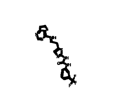 O=C(Nc1cccc(C(F)(F)F)c1)Nc1ncc(CCNc2ncnc3ccsc23)s1